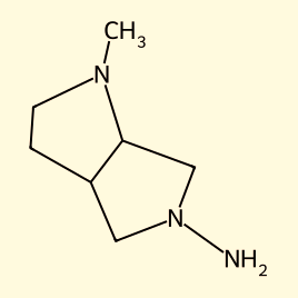 CN1CCC2CN(N)CC21